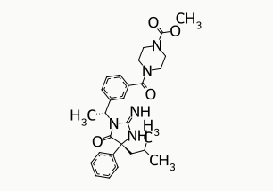 COC(=O)N1CCN(C(=O)c2cccc([C@@H](C)N3C(=N)N[C@](CC(C)C)(c4ccccc4)C3=O)c2)CC1